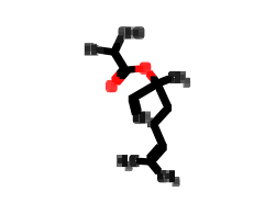 C=CC(C)(CCC=C(C)C)OC(=O)C(C=O)CC